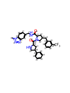 Cn1nnc2cc(CNC(=O)C3CC(Cc4cccc(C(F)(F)F)c4)CN3C(=O)C3CC(c4ccccc4)CN3)ccc21